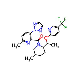 Cc1ccc(-n2nccn2)c(C(=O)N2CC(C)CCC2C(C)Oc2ccc(C(F)(F)F)cn2)n1